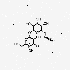 [N-]=[N+]=NCC1O[C@H](O[C@H]2OC(CO)[C@@H](O)C(O)C2O)C(O)C(O)[C@@H]1O